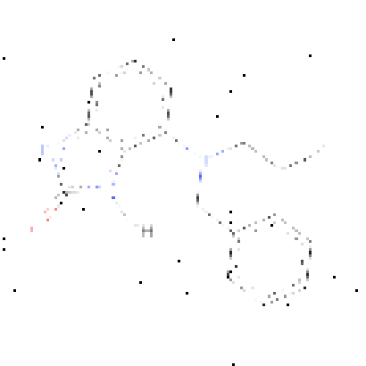 CCCN(Cc1ccccc1)c1cccc2[nH]c(=O)n(C)c12